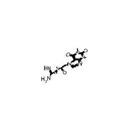 Cn1c(=O)c2c(ncn2CC(=O)/N=N/C(=N)N)n(C)c1=O